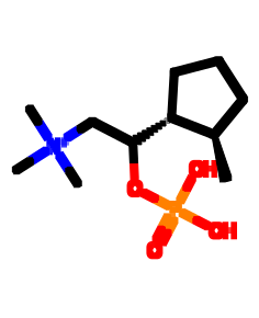 C[C@@H]1CCC[C@H]1C(C[N+](C)(C)C)OP(=O)(O)O